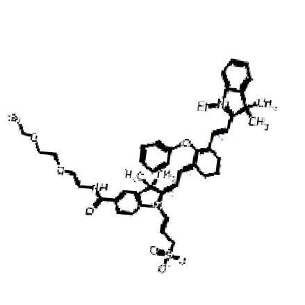 CC[N+]1=C(/C=C/C2=C(Oc3ccccc3)C(=C/C=C3/N(CCCS(=O)(=O)[O-])c4ccc(C(=O)NCCOCCOCC(C)(C)C)cc4C3(C)C)/CCC2)C(C)(C)c2ccccc21